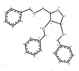 c1ccc(COCC2SCC(OCc3ccccc3)C2OCc2ccccc2)cc1